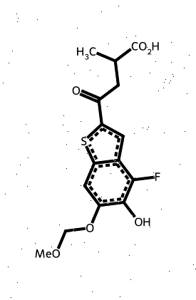 COCOc1cc2sc(C(=O)CC(C)C(=O)O)cc2c(F)c1O